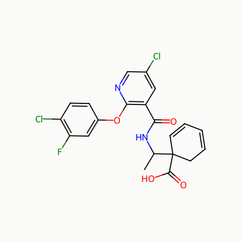 CC(NC(=O)c1cc(Cl)cnc1Oc1ccc(Cl)c(F)c1)C1(C(=O)O)C=CC=CC1